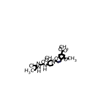 CCc1[nH]c(C(=O)NC2CCN(C(=O)/C=C\c3ccc(C(=O)OC)cc3OC)CC2OC)nc1Cl